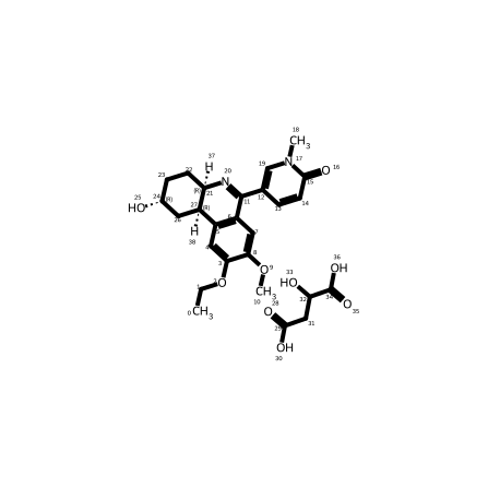 CCOc1cc2c(cc1OC)C(c1ccc(=O)n(C)c1)=N[C@@H]1CC[C@@H](O)C[C@H]21.O=C(O)CC(O)C(=O)O